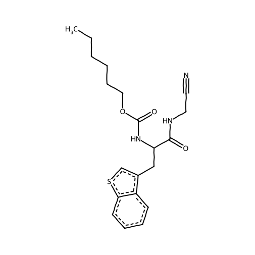 CCCCCCOC(=O)NC(Cc1csc2ccccc12)C(=O)NCC#N